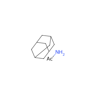 C1C2CC3CC1CC(C2)C3.CC(N)=O